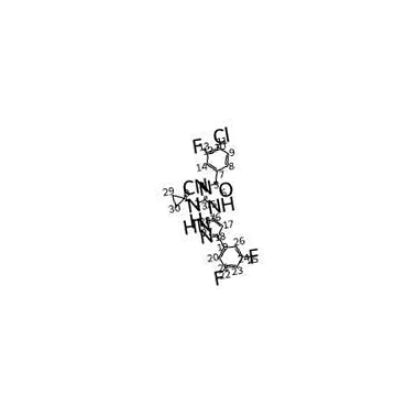 N#CC1(N/C(=N/C(=O)c2ccc(Cl)c(F)c2)Nc2cc(-c3cc(F)cc(F)c3)n[nH]2)CC1